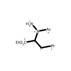 CCOC(=O)C(CC(C)C)N(N)C(C)=O